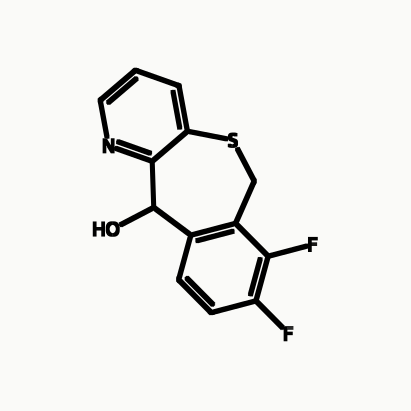 OC1c2ccc(F)c(F)c2CSc2cccnc21